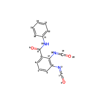 O=C=Nc1cccc(C(=O)Nc2ccccc2)c1N=C=O